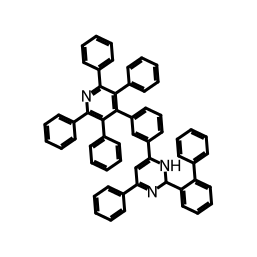 C1=C(c2cccc(-c3c(-c4ccccc4)c(-c4ccccc4)nc(-c4ccccc4)c3-c3ccccc3)c2)NC(c2ccccc2-c2ccccc2)N=C1c1ccccc1